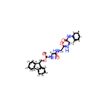 NC(=O)[C@H](Cc1ccccc1)NC(=O)CNC(=O)CNC(=O)OCC1c2ccccc2-c2ccccc21